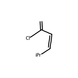 C=C(Cl)/C=C\C(C)C